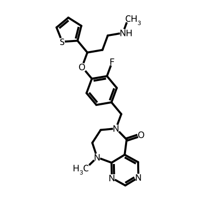 CNCCC(Oc1ccc(CN2CCN(C)c3ncncc3C2=O)cc1F)c1cccs1